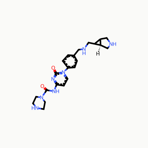 O=C(Nc1ccn(-c2ccc(CNCC3C4CNC[C@@H]34)cc2)c(=O)n1)N1CCNCC1